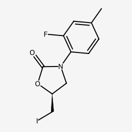 Cc1ccc(N2C[C@@H](CI)OC2=O)c(F)c1